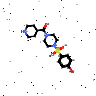 O=C(C1CCNCC1)N1CCN(S(=O)(=O)c2ccc(Br)cc2)CC1